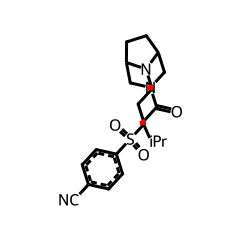 CC(C)CC(=O)N1CC2CCC(C1)N2CCCS(=O)(=O)c1ccc(C#N)cc1